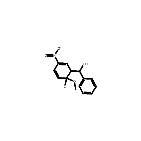 COC1(Cl)C=CC([N+](=O)[O-])=CC1C(O)c1ccccc1